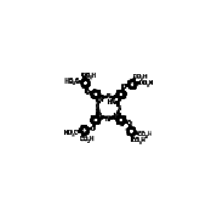 CN1/C2=N\C3c4cc(Oc5ccc(C(=O)O)c(C(=O)O)c5)ccc4/C(=N/C4c5cc(Oc6ccc(C(=O)O)c(C(=O)O)c6)ccc5/C(=N/C5N/C(=N\C1c1cc(Oc6ccc(C(=O)O)c(C(=O)O)c6)ccc12)c1ccc(Oc2ccc(C(=O)O)c(C(=O)O)c2)cc15)N4C)N3C